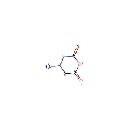 NC1CC(=O)OC(=O)C1